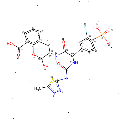 Cc1nnc(NC(=O)N[C@@H](C(=O)N[C@H]2Cc3cccc(C(=O)O)c3OB2O)c2ccc(P(=O)(O)O)c(F)c2)s1